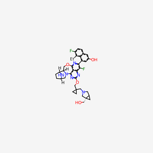 CCc1c(F)ccc2cc(O)cc(-c3nc4c5c(nc(OCC6(CN7CC8C[C@@]8(CO)C7)CC6)nc5c3F)N3C[C@@H]5CC[C@@H](N5)[C@@H]3CO4)c12